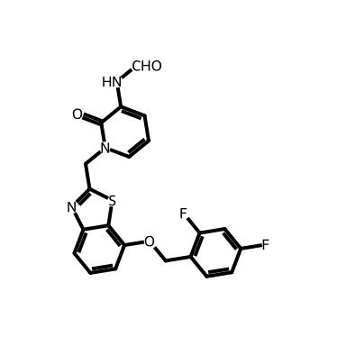 O=CNc1cccn(Cc2nc3cccc(OCc4ccc(F)cc4F)c3s2)c1=O